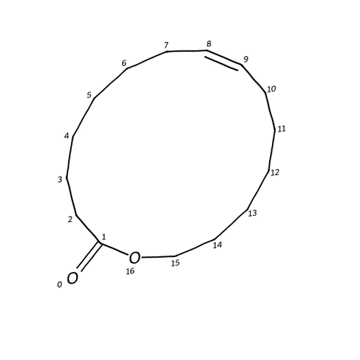 O=C1CCCCCC/C=C\CCCCCCO1